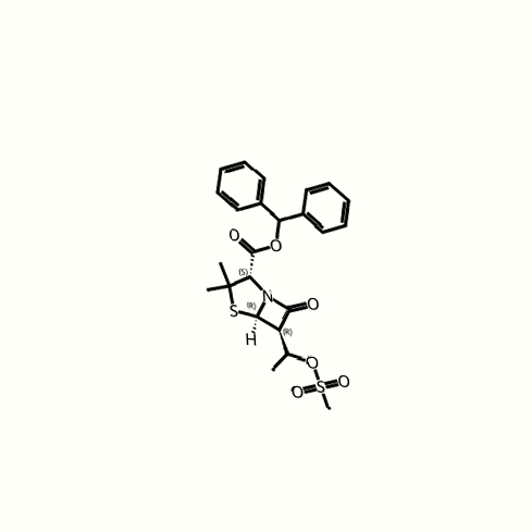 CC(OS(C)(=O)=O)[C@@H]1C(=O)N2[C@@H]1SC(C)(C)[C@@H]2C(=O)OC(c1ccccc1)c1ccccc1